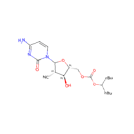 CCCCC(CCCC)OC(=O)OC[C@H]1OC(n2ccc(N)nc2=O)[C@@H](C#N)[C@@H]1O